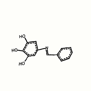 Oc1cc(N=Cc2ccccc2)cc(O)c1O